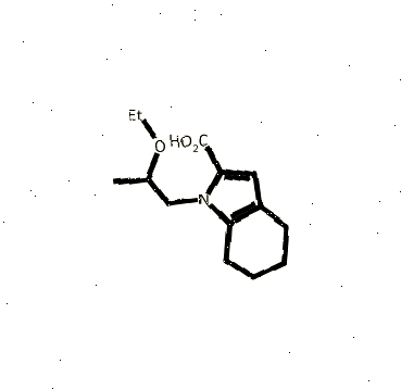 CCOC(C)Cn1c(C(=O)O)cc2c1CCCC2